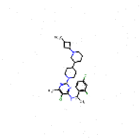 Cc1nc(N2CCC(C3CCCN(C4CC(C(=O)O)C4)C3)CC2)nc(N[C@H](C)c2ccc(Cl)cc2Cl)c1Cl